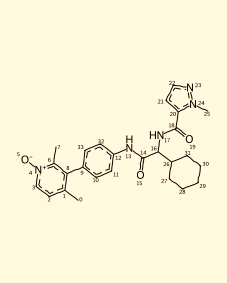 Cc1cc[n+]([O-])c(C)c1-c1ccc(NC(=O)C(NC(=O)c2ccnn2C)C2CCCCC2)cc1